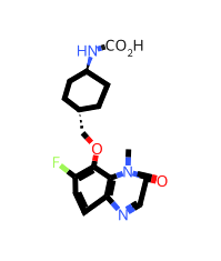 Cn1c(=O)cnc2ccc(F)c(OC[C@H]3CC[C@H](NC(=O)O)CC3)c21